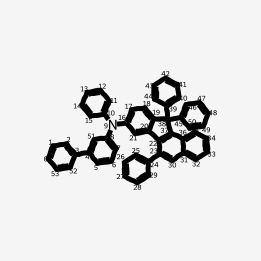 c1ccc(-c2cccc(N(c3ccccc3)c3ccc4c(c3)-c3c(-c5ccccc5)cc5ccccc5c3C4(c3ccccc3)c3ccccc3)c2)cc1